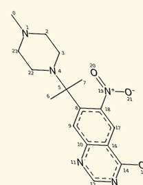 CN1CCN(C(C)(C)c2cc3ncnc(O)c3cc2[N+](=O)[O-])CC1